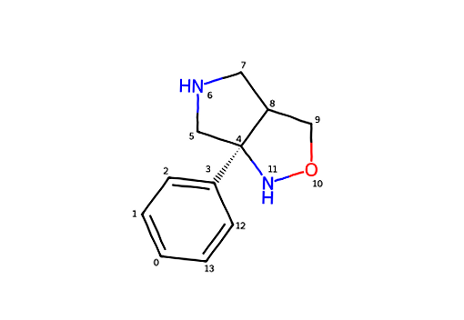 c1ccc([C@]23CNCC2CON3)cc1